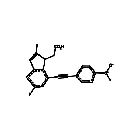 CC1=Cc2cc(F)cc(C#Cc3ccc([S+](C)[O-])cc3)c2C1CC(=O)O